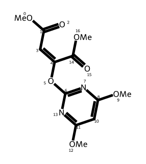 COC(=O)/C=C(/Oc1nc(OC)cc(OC)n1)C(=O)OC